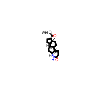 COC(=O)[C@H]1CC[C@H]2[C@@H]3CC[C@H]4NC(=O)CC[C@]4(C)C3CC[C@]12C